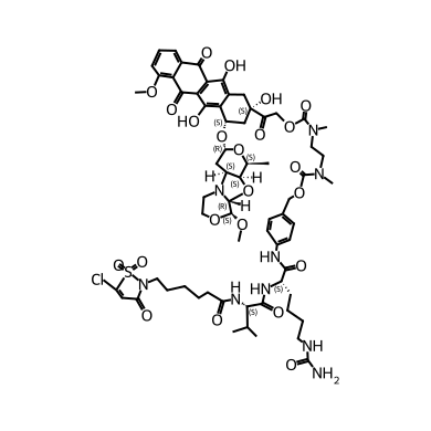 COc1cccc2c1C(=O)c1c(O)c3c(c(O)c1C2=O)C[C@@](O)(C(=O)COC(=O)N(C)CCN(C)C(=O)OCc1ccc(NC(=O)[C@H](CCCCNC(N)=O)NC(=O)[C@@H](NC(=O)CCCCCN2C(=O)C=C(Cl)S2(=O)=O)C(C)C)cc1)C[C@@H]3O[C@H]1C[C@H]2[C@H](O[C@@H]3[C@@H](OC)OCCN32)[C@H](C)O1